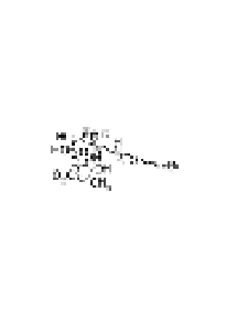 CCCC/C=C/CCOCC(=O)NCCNC(=O)C1OC(OC2C(C(=O)O)OC(C)C(O)C2O)C(O)C(O)C1C(C)CCC